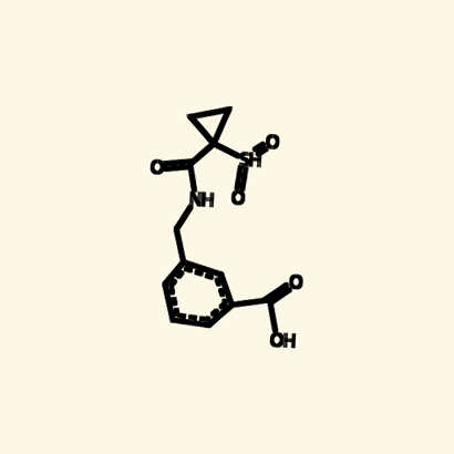 O=C(O)c1cccc(CNC(=O)C2([SH](=O)=O)CC2)c1